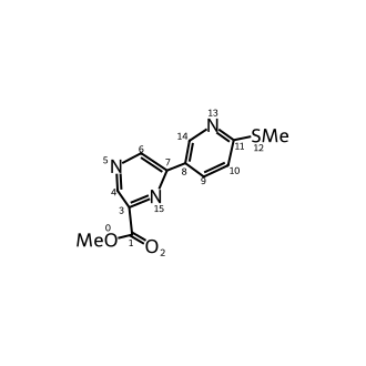 COC(=O)c1cncc(-c2ccc(SC)nc2)n1